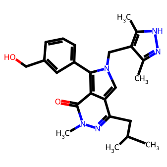 Cc1n[nH]c(C)c1Cn1cc2c(CC(C)C)nn(C)c(=O)c2c1-c1cccc(CO)c1